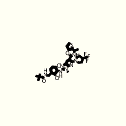 CC(NC(=O)c1cc2nc(Nc3c(Cl)ccc(CNC(=O)C(C)(C)C)c3Cl)n(C)c2nc1N1CCC(C(F)(F)F)CC1)c1cccs1